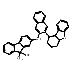 CC1(C)c2ccccc2-c2ccc(Nc3cc4ccccc4cc3C3CCCC4Oc5ccccc5C43)cc21